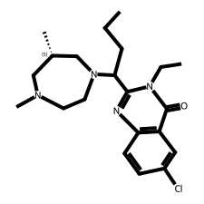 CCCC(c1nc2ccc(Cl)cc2c(=O)n1CC)N1CCN(C)C[C@H](C)C1